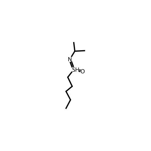 CCCCC/[SH](=O)=N/C(C)C